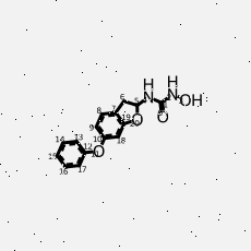 O=C(NO)NC1Cc2ccc(Oc3ccccc3)cc2O1